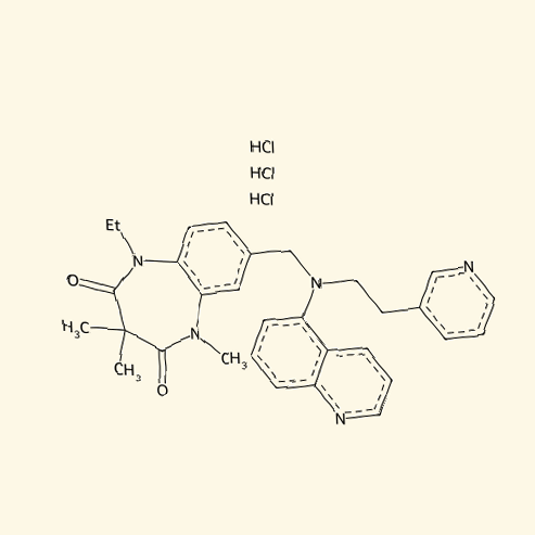 CCN1C(=O)C(C)(C)C(=O)N(C)c2cc(CN(CCc3cccnc3)c3cccc4ncccc34)ccc21.Cl.Cl.Cl